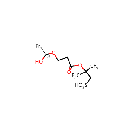 CC(C)[C@@H](O)OCCC(=O)OC(CS(=O)(=O)O)(C(F)(F)F)C(F)(F)F